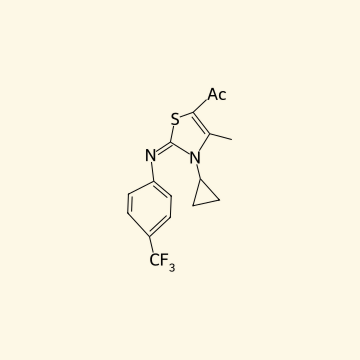 CC(=O)c1sc(=Nc2ccc(C(F)(F)F)cc2)n(C2CC2)c1C